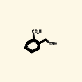 CSCc1ccccc1C(=O)O